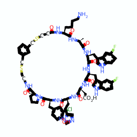 C[C@H]1NC(=O)[C@H](CCCCN)NC(=O)CCSCc2cccc(c2)CSCCNC(=O)[C@]2(C)CCCN2C(=O)[C@H](Cc2ccc(O)c(Cl)c2)NC(=O)[C@H](CCc2cnc[nH]2)NC(=O)[C@H](CC(=O)O)NC(=O)[C@H](Cc2c[nH]c3ccc(F)cc23)NC(=O)[C@H](Cc2c[nH]c3ccc(F)cc23)NC1=O